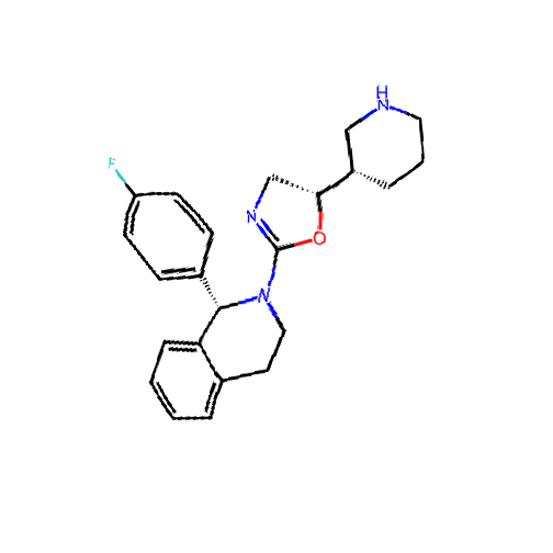 Fc1ccc([C@H]2c3ccccc3CCN2C2=NC[C@H]([C@H]3CCCNC3)O2)cc1